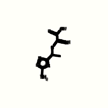 CC(OC(=N)C(=O)O)c1nsc(N)n1